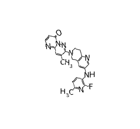 Cc1ccc(Nc2cnc3c(c2)CN(c2nn4c(=O)ccnc4cc2C)CC3)c(F)n1